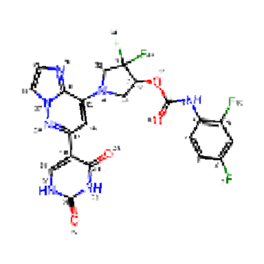 O=C(Nc1ccc(F)cc1F)O[C@H]1CN(c2cc(-c3c[nH]c(=O)[nH]c3=O)nn3ccnc23)CC1(F)F